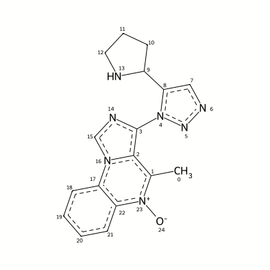 Cc1c2c(-n3nncc3C3CCCN3)ncn2c2ccccc2[n+]1[O-]